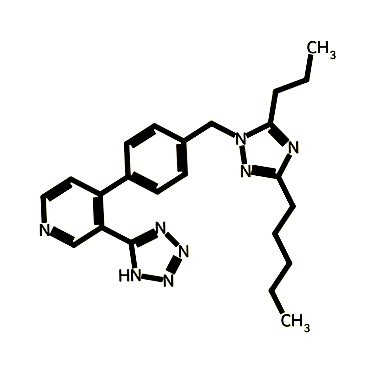 CCCCCc1nc(CCC)n(Cc2ccc(-c3ccncc3-c3nnn[nH]3)cc2)n1